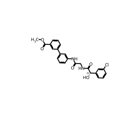 COC(=O)c1cccc(-c2cccc(NC(=O)CNC(=O)[C@@H](O)c3cccc(Cl)c3)c2)c1